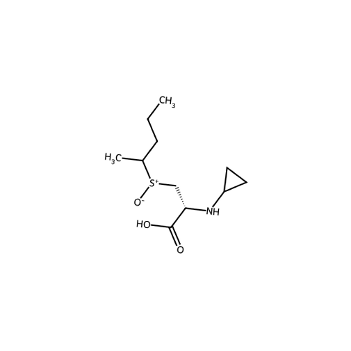 CCCC(C)[S+]([O-])C[C@H](NC1CC1)C(=O)O